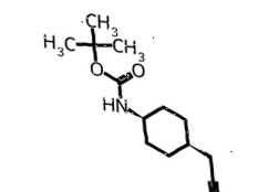 CC(C)(C)OC(=O)N[C@H]1CC[C@@H](CC#N)CC1